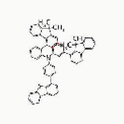 CC1(C)c2ccccc2-c2c(-c3ccccc3N(c3ccc(-c4cccc5c4sc4ccccc45)cc3)c3cccc(-c4cccc5c4C(C)(C)c4ccccc4-5)c3)cccc21